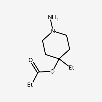 CCC(=O)OC1(CC)CCN(N)CC1